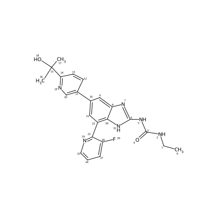 CCNC(=O)Nc1nc2cc(-c3ccc(C(C)(C)O)nc3)cc(-c3ncccc3F)c2[nH]1